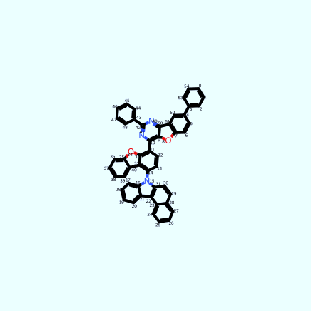 c1ccc(-c2ccc3oc4c(-c5ccc(-n6c7ccccc7c7c8ccccc8ccc76)c6c5oc5ccccc56)nc(-c5ccccc5)nc4c3c2)cc1